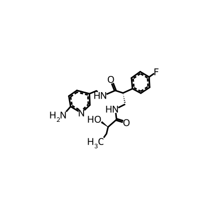 CC[C@@H](O)C(=O)NC[C@H](C(=O)NCc1ccc(N)nc1)c1ccc(F)cc1